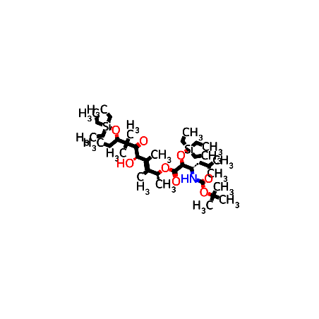 CCC(O[Si](CC)(CC)CC)C(C)(C)C(=O)[C@H](O)/C(C)=C(\C)[C@H](C)OC(=O)C(O[Si](CC)(CC)CC)[C@H](CC(C)C)NC(=O)OC(C)(C)C